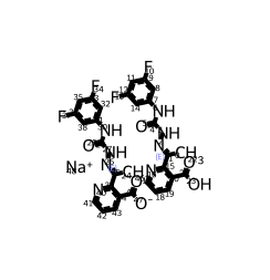 C/C(=N\NC(=O)Nc1cc(F)cc(F)c1)c1ncccc1C(=O)O.C/C(=N\NC(=O)Nc1cc(F)cc(F)c1)c1ncccc1C(=O)[O-].[Na+]